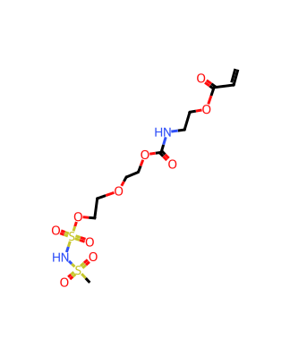 C=CC(=O)OCCNC(=O)OCCOCCOS(=O)(=O)NS(C)(=O)=O